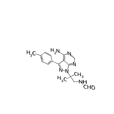 Cc1ccc(-c2nn(C(C)(C)CNC=O)c3ncnc(N)c23)cc1